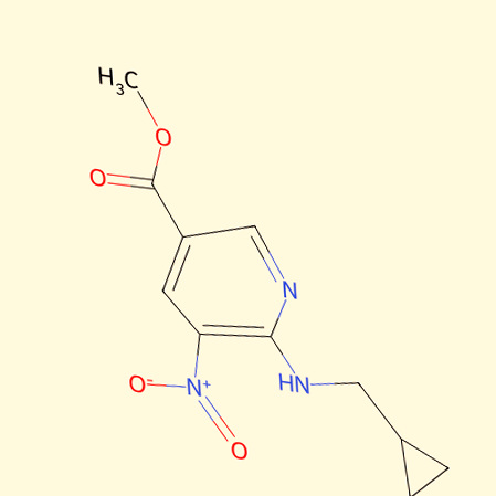 COC(=O)c1cnc(NCC2CC2)c([N+](=O)[O-])c1